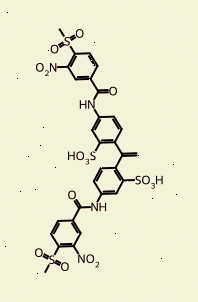 C=C(c1ccc(NC(=O)c2ccc(S(C)(=O)=O)c([N+](=O)[O-])c2)cc1S(=O)(=O)O)c1ccc(NC(=O)c2ccc(S(C)(=O)=O)c([N+](=O)[O-])c2)cc1S(=O)(=O)O